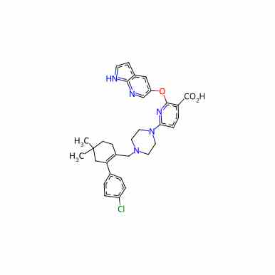 CC1(C)CCC(CN2CCN(c3ccc(C(=O)O)c(Oc4cnc5[nH]ccc5c4)n3)CC2)=C(c2ccc(Cl)cc2)C1